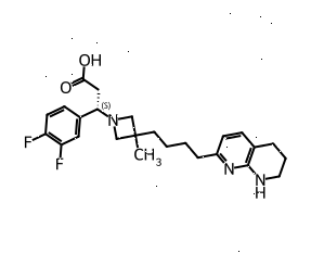 CC1(CCCCc2ccc3c(n2)NCCC3)CN([C@@H](CC(=O)O)c2ccc(F)c(F)c2)C1